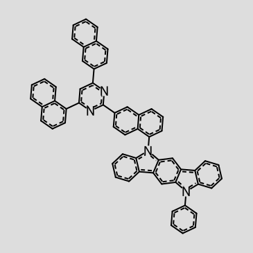 c1ccc(-n2c3ccccc3c3cc4c(cc32)c2ccccc2n4-c2cccc3cc(-c4nc(-c5ccc6ccccc6c5)cc(-c5cccc6ccccc56)n4)ccc23)cc1